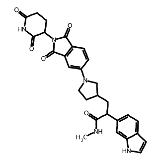 CNC(=O)C(CC1CCN(c2ccc3c(c2)C(=O)N(C2CCC(=O)NC2=O)C3=O)C1)c1ccc2cc[nH]c2c1